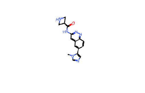 Cn1cncc1-c1ccc2nnc(NC(=O)C3CNC3)cc2c1